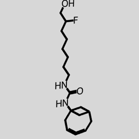 O=C(NCCCCCCC(F)CO)NC12CC=C=CCC(C1)C2